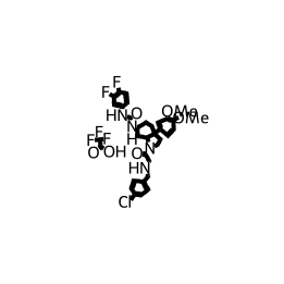 COc1ccc(C23CCC(NC(=O)Nc4ccc(F)c(F)c4)CC2N(C(=O)CNCc2ccc(Cl)cc2)CC3)cc1OC.O=C(O)C(F)(F)F